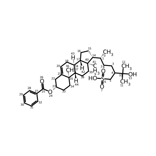 C[C@H](CCC(CS(=O)(=O)O)C(C)(C)O)[C@H]1CC[C@H]2[C@@H]3CC=C4C[C@@H](OC(=O)c5ccccc5)CC[C@]4(C)[C@H]3CC[C@]12C